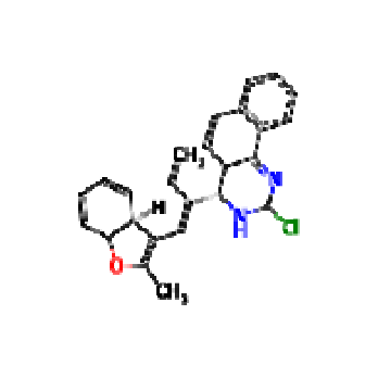 C=C/C(=C\C1=C(C)OC2C=CC=C[C@@H]12)[C@H]1NC(Cl)N=C2c3ccccc3C=CC21